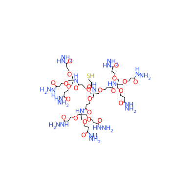 NNC(=O)CCOCC(COCCC(=O)NN)(COCCC(=O)NN)NC(=O)CCOCC(COCCC(=O)NC(COCCC(=O)NN)(COCCC(=O)NN)COCCC(=O)NN)(COCCC(=O)NC(COCCC(=O)NN)(COCCC(=O)NN)COCCC(=O)NN)NC(=O)CCS